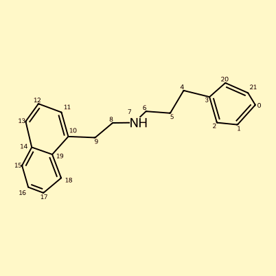 c1ccc(CCCNCCc2cccc3ccccc23)cc1